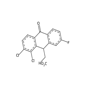 O=C(O)CC1c2cc(F)ccc2C(=O)c2ccc(Cl)c(Cl)c21